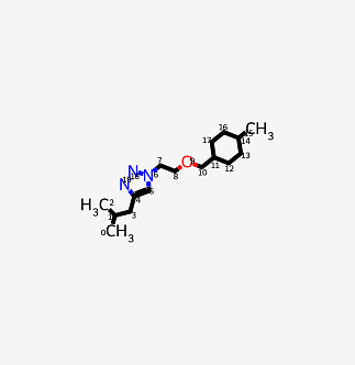 CC(C)Cc1cn(CCOCC2CCC(C)CC2)nn1